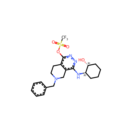 O=S(=O)(Oc1nnc(N[C@@H]2CCCC[C@H]2O)c2c1CCN(Cc1ccccc1)C2)C(F)(F)F